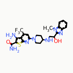 Cn1c(C(O)CNC2CCN(c3cc(C(F)(F)F)c4c(N)c(C(N)=O)sc4n3)CC2)nc2ccccc21